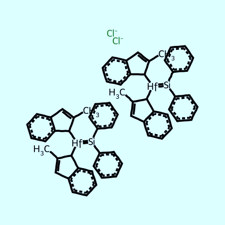 CC1=Cc2ccccc2[CH]1[Hf]([CH]1C(C)=Cc2ccccc21)=[Si](c1ccccc1)c1ccccc1.CC1=Cc2ccccc2[CH]1[Hf]([CH]1C(C)=Cc2ccccc21)=[Si](c1ccccc1)c1ccccc1.[Cl-].[Cl-]